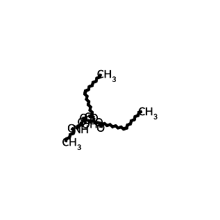 CCCCCCCC/C=C\CCCCCCCC(=O)OCC(COP(=O)(O)OCCNC(=O)CCCCC)OC(=O)CCCCCCC/C=C\CCCCCCCC